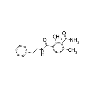 Cc1ccc(C(=O)NCCc2ccccc2)c(C)c1C(N)=O